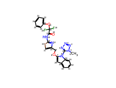 Cn1nnnc1-n1c(OCc2csc(NC(=O)C(F)(F)Oc3ccccc3)n2)cc2ccccc21